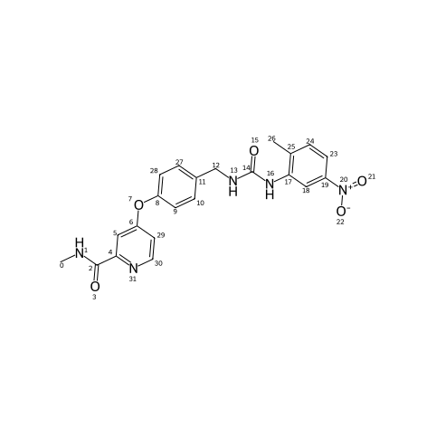 CNC(=O)c1cc(Oc2ccc(CNC(=O)Nc3cc([N+](=O)[O-])ccc3C)cc2)ccn1